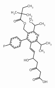 CCC(C)(C)C(=O)OCc1c(C(C)C)nc(C(C)C)c(C=CC(O)CC(=O)CC(=O)O)c1-c1ccc(F)cc1